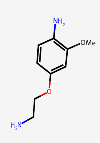 COc1cc(OCCN)ccc1N